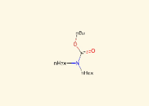 CCCCCCN(CCCCCC)C(=O)OCCCC